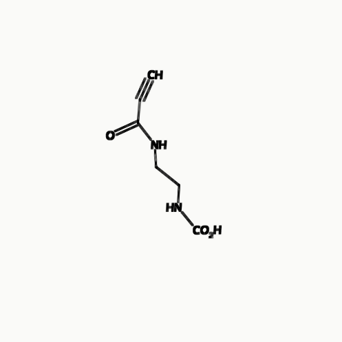 C#CC(=O)NCCNC(=O)O